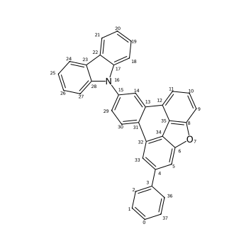 c1ccc(-c2cc3oc4cccc5c6cc(-n7c8ccccc8c8ccccc87)ccc6c(c2)c3c45)cc1